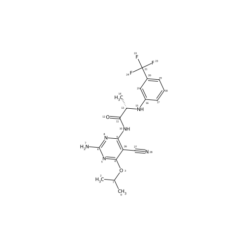 CC(C)Oc1nc(N)nc(NC(=O)[C@H](C)Nc2cccc(C(F)(F)F)c2)c1C#N